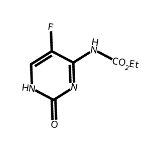 CCOC(=O)Nc1nc(=O)[nH]cc1F